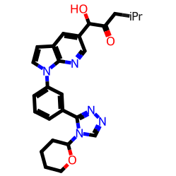 CC(C)CC(=O)C(O)c1cnc2c(ccn2-c2cccc(-c3nncn3C3CCCCO3)c2)c1